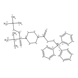 CC(C)(C)COP(=O)(N1CCN(C(=O)CC[PH](c2ccccc2)(c2ccccc2)c2ccccc2)CC1)C(C)(C)C